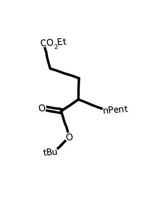 CCCCCC(CCC(=O)OCC)C(=O)OC(C)(C)C